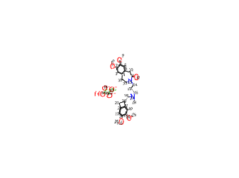 COc1cc2c(cc1OC)CC(=O)N(CCCN(C)C[C@H]1Cc3cc(OC)c(OC)cc31)CC2.[O-][Cl+3]([O-])([O-])O